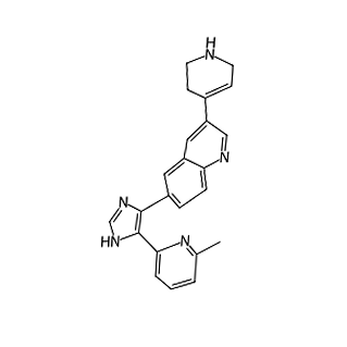 Cc1cccc(-c2[nH]cnc2-c2ccc3ncc(C4=CCNCC4)cc3c2)n1